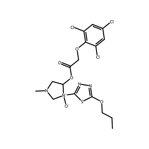 CCCOc1nnc([N+]2([O-])CN(C)CC2OC(=O)COc2c(Cl)cc(Cl)cc2Cl)s1